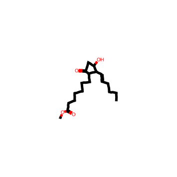 CCCC/C=C/C1C(O)CC(=O)C1CCCCCCC(=O)OC